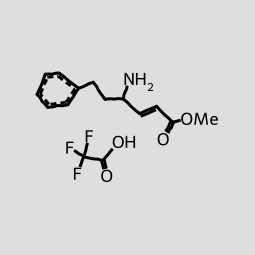 COC(=O)C=CC(N)CCc1ccccc1.O=C(O)C(F)(F)F